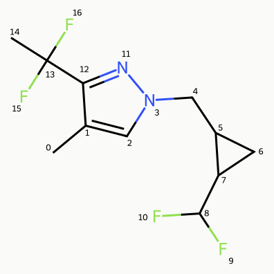 Cc1cn(CC2CC2C(F)F)nc1C(C)(F)F